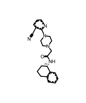 N#Cc1cccnc1N1CCN(CC(=O)N[C@H]2CCCc3ccccc32)CC1